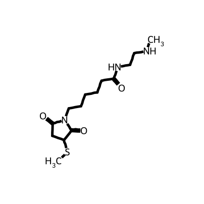 CNCCNC(=O)CCCCCN1C(=O)CC(SC)C1=O